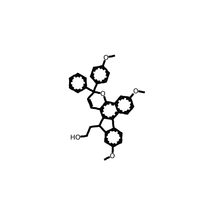 COc1ccc(C2(c3ccccc3)C=Cc3c4c(c5ccc(OC)cc5c3O2)-c2ccc(OC)cc2C4CCO)cc1